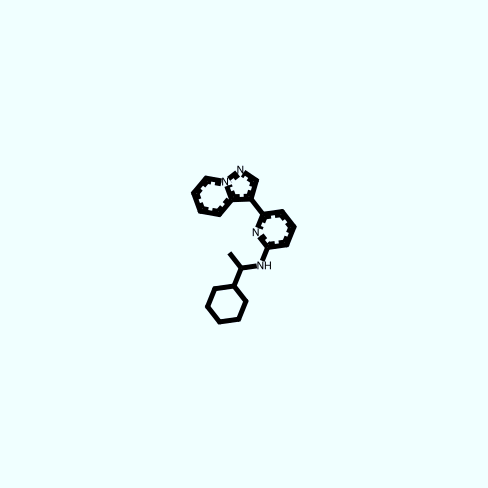 CC(Nc1cccc(-c2cnn3ccccc23)n1)C1CCCCC1